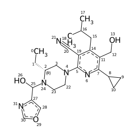 CC[C@@H]1CN(c2nc(C3CC3)c(CO)c(CC(C)C)c2C#N)CCN1C(O)c1cocn1